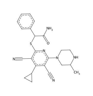 CC1CN(c2nc(SC(C(N)=O)c3ccccc3)c(C#N)c(C3CC3)c2C#N)CCN1